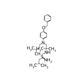 CC(C)CCN(CC(C)(C)NC[C@@H](N)CC(C)C)c1ccc(OCc2ccccc2)cc1